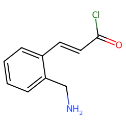 NCc1ccccc1C=CC(=O)Cl